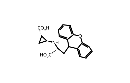 O=C(O)[C@H]1C[C@@H]1N[C@H](CC1c2ccccc2Oc2ccccc21)C(=O)O